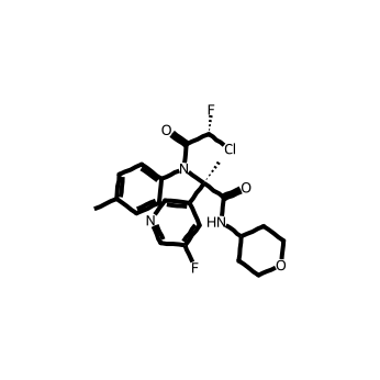 Cc1ccc(N(C(=O)[C@H](F)Cl)[C@@](C)(C(=O)NC2CCOCC2)c2cncc(F)c2)cc1